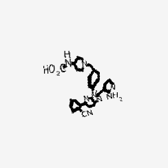 N#Cc1ccccc1-c1ccc2nc(-c3cccnc3N)n(-c3ccc(CN4CCC(NC(=O)O)CC4)cc3)c2n1